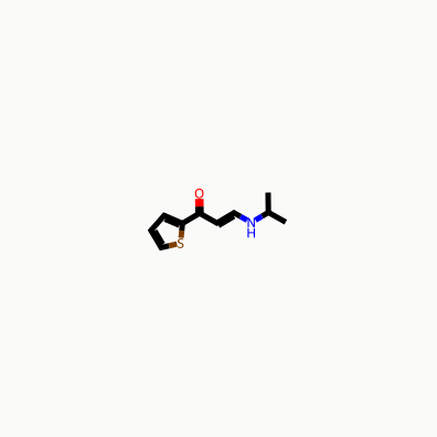 CC(C)NC=CC(=O)c1cccs1